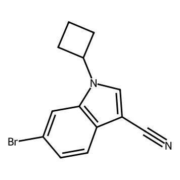 N#Cc1cn(C2CCC2)c2cc(Br)ccc12